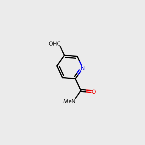 CNC(=O)c1ccc(C=O)cn1